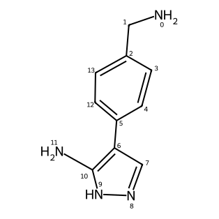 NCc1ccc(-c2cn[nH]c2N)cc1